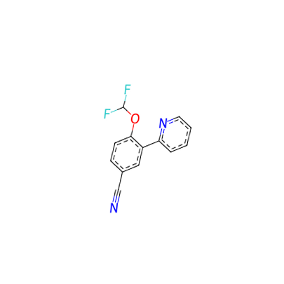 N#Cc1ccc(OC(F)F)c(-c2ccccn2)c1